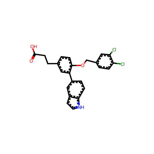 O=C(O)CCc1ccc(OCc2ccc(Cl)c(Cl)c2)c(-c2ccc3[nH]ccc3c2)c1